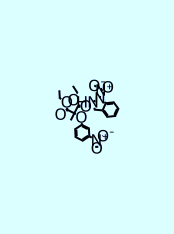 CCOC(=O)C(C)(Oc1cccc([N+](=O)[O-])c1)C(=O)OCC.O=[N+]([O-])N1NCc2ccccc21